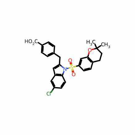 CC1(C)CCc2ccc(S(=O)(=O)n3c(Cc4ccc(C(=O)O)cc4)cc4cc(Cl)ccc43)cc2O1